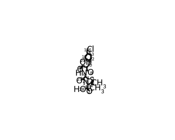 CC1(C)SC2C(NC(=O)C(Cc3ccc(CCl)cc3)C(=O)O)C(=O)N2C1C(=O)O